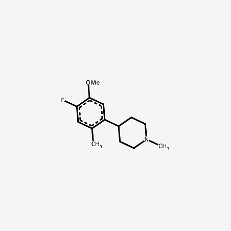 COc1cc(C2CCN(C)CC2)c(C)cc1F